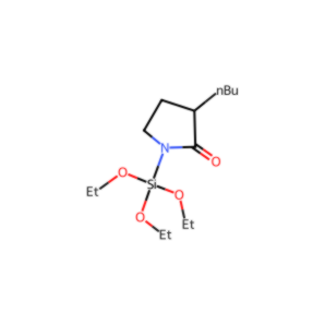 CCCCC1CCN([Si](OCC)(OCC)OCC)C1=O